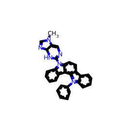 CN1C=NC2NC(n3c4ccccc4c4c3ccc3c5ccccc5n(-c5ccccc5)c34)=NC=C21